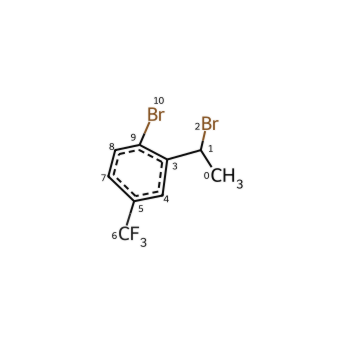 CC(Br)c1cc(C(F)(F)F)ccc1Br